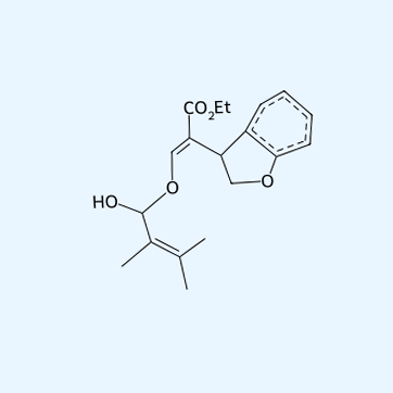 CCOC(=O)/C(=C/OC(O)C(C)=C(C)C)C1COc2ccccc21